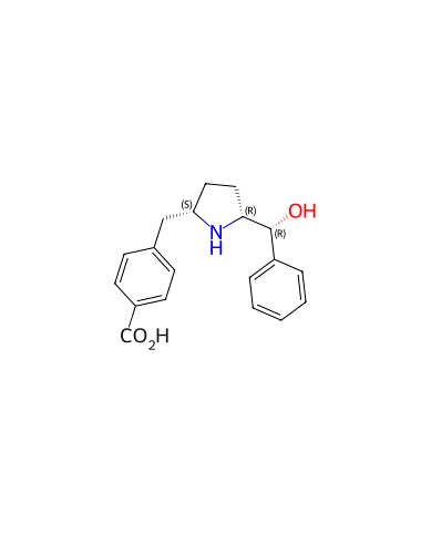 O=C(O)c1ccc(C[C@@H]2CC[C@H]([C@H](O)c3ccccc3)N2)cc1